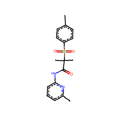 Cc1ccc(S(=O)(=O)C(C)(C)C(=O)Nc2cccc(C)n2)cc1